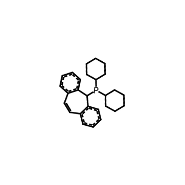 C1=Cc2ccccc2C(P(C2CCCCC2)C2CCCCC2)c2ccccc21